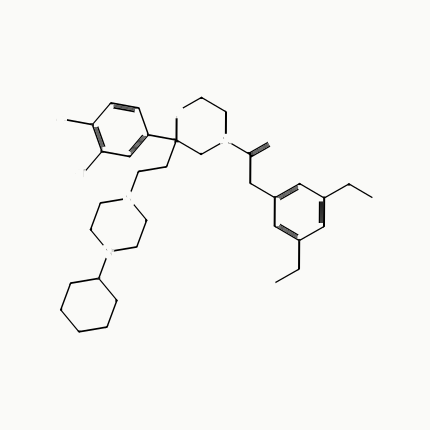 CCc1cc(CC)cc(CC(=O)N2CCOC(CCN3CCN(C4CCCCC4)CC3)(c3ccc(Cl)c(Cl)c3)C2)c1